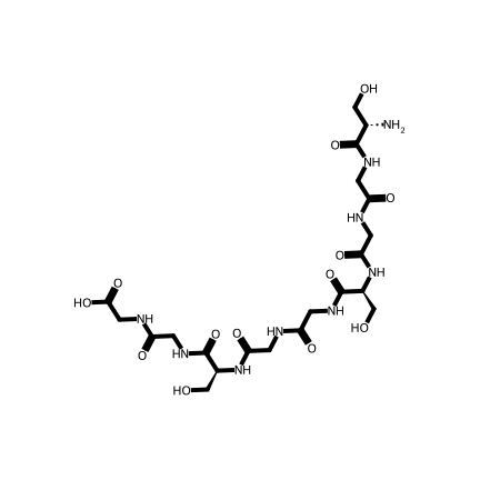 N[C@@H](CO)C(=O)NCC(=O)NCC(=O)N[C@@H](CO)C(=O)NCC(=O)NCC(=O)N[C@@H](CO)C(=O)NCC(=O)NCC(=O)O